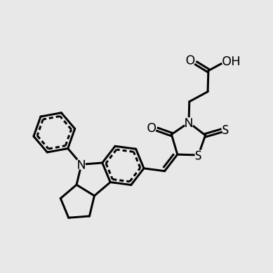 O=C(O)CCN1C(=O)/C(=C\c2ccc3c(c2)C2CCCC2N3c2ccccc2)SC1=S